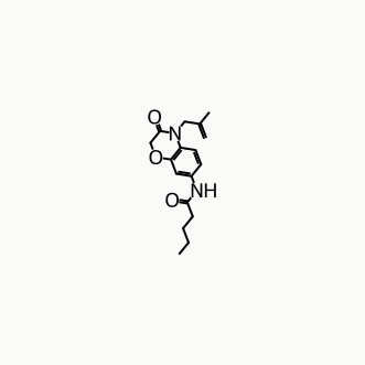 C=C(C)CN1C(=O)COc2cc(NC(=O)CCCC)ccc21